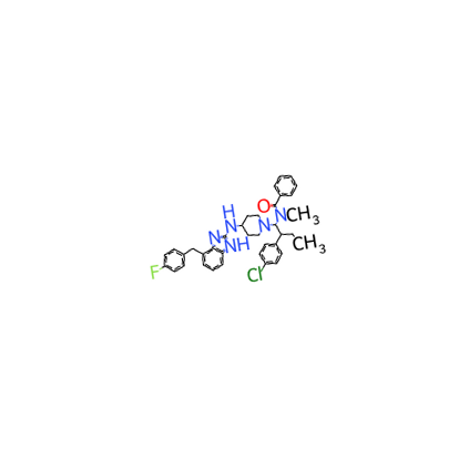 CCC(c1ccc(Cl)cc1)C(N1CCC(Nc2nc3c(Cc4ccc(F)cc4)cccc3[nH]2)CC1)N(C)C(=O)c1ccccc1